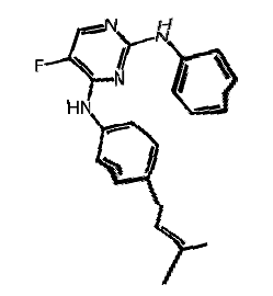 CC(C)=CCc1ccc(Nc2nc(Nc3ccccc3)ncc2F)cc1